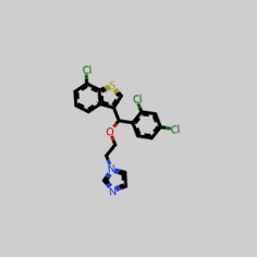 Clc1ccc(C(OCCn2ccnc2)c2csc3c(Cl)cccc23)c(Cl)c1